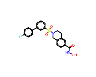 O=C(NO)c1ccc2c(c1)CCN(S(=O)(=O)c1cccc(-c3ccc(F)cc3)c1)C2